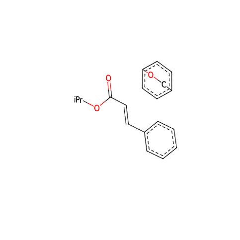 CC(C)OC(=O)C=Cc1ccccc1.c1cc2ccc1CO2